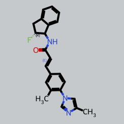 Cc1cn(-c2ccc(/C=C/C(=O)NC3c4ccccc4C[C@H]3F)cc2C)cn1